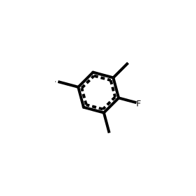 [CH2]c1cc(C)c(F)c(C)c1